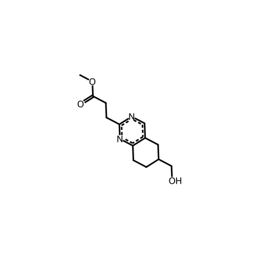 COC(=O)CCc1ncc2c(n1)CCC(CO)C2